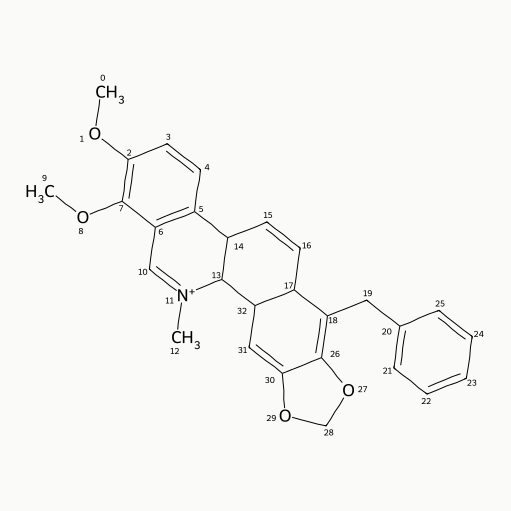 COc1ccc2c(c1OC)C=[N+](C)C1C2C=CC2C(Cc3ccccc3)=C3OCOC3=CC21